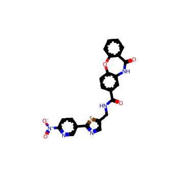 O=C(NCc1cnc(-c2ccc([N+](=O)[O-])nc2)s1)c1ccc2c(c1)NC(=O)c1ccccc1O2